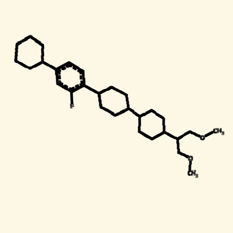 COCC(COC)C1CCC(C2CCC(c3ccc(C4CCCCC4)cc3F)CC2)CC1